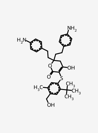 Cc1cc(SC2=C(O)CC(CCc3ccc(N)cc3)(CCc3ccc(N)cc3)OC2=O)c(C(C)(C)C)cc1CO